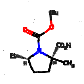 CC[C@H]1CC[C@@](C)(C(=O)O)N1C(=O)OC(C)(C)C